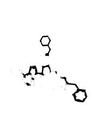 C[C@@]1(c2ccc3c(N)ncnn23)O[C@H](COC(=O)[C@@H](N)Cc2ccccc2)[C@@H](OC(=O)CC2CCCCC2)[C@H]1O